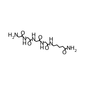 NCC(=O)NCC(=O)NCC(=O)NCC(=O)NCCCCC(N)=O